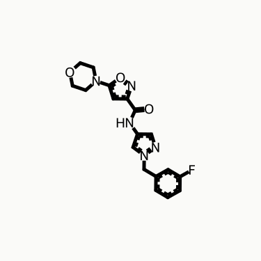 O=C(Nc1cnn(Cc2cccc(F)c2)c1)c1cc(N2CCOCC2)on1